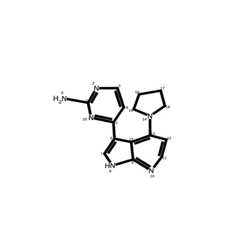 Nc1nccc(-c2c[nH]c3nccc(N4CCCC4)c23)n1